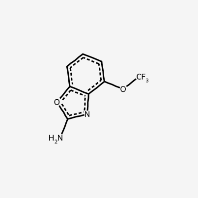 Nc1nc2c(OC(F)(F)F)cccc2o1